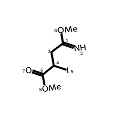 COC(=N)CC(I)C(=O)OC